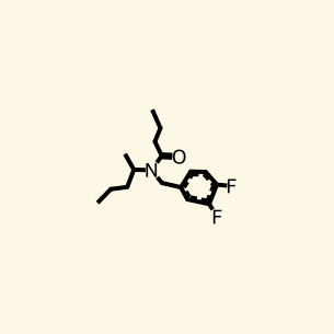 CCCC(=O)N(Cc1ccc(F)c(F)c1)C(C)CCC